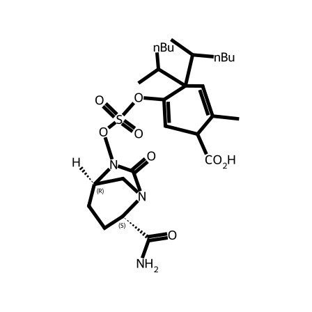 CCCCC(C)C1(C(C)CCCC)C=C(C)C(C(=O)O)C=C1OS(=O)(=O)ON1C(=O)N2C[C@H]1CC[C@H]2C(N)=O